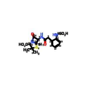 CC1(C)S[C@@H]2C(NC(=O)Cc3ccccc3NS(=O)(=O)O)C(=O)N2[C@H]1C(=O)O